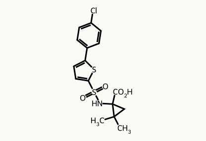 CC1(C)CC1(NS(=O)(=O)c1ccc(-c2ccc(Cl)cc2)s1)C(=O)O